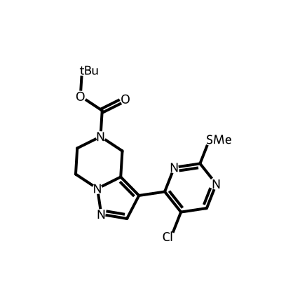 CSc1ncc(Cl)c(-c2cnn3c2CN(C(=O)OC(C)(C)C)CC3)n1